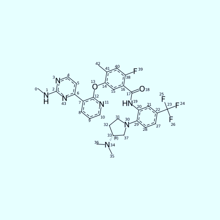 CNc1nccc(-c2cccnc2Oc2cc(C(=O)Nc3cc(C(F)(F)F)ccc3N3CC[C@@H](N(C)C)C3)c(F)cc2C)n1